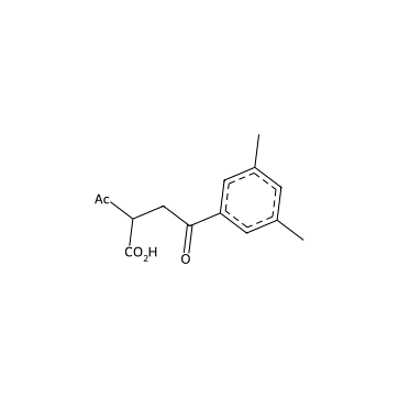 CC(=O)C(CC(=O)c1cc(C)cc(C)c1)C(=O)O